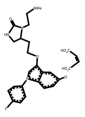 CNCCN1C(=O)NCC1CCOc1cn(-c2ccc(F)cc2)c2ccc(Cl)cc12.O=C(O)/C=C\C(=O)O